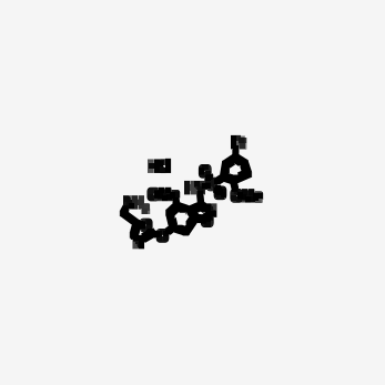 CCc1ccc(OC)c(S(=O)(=O)Nc2noc3cc(Oc4ncc(CN)o4)cc(OC)c23)c1.Cl